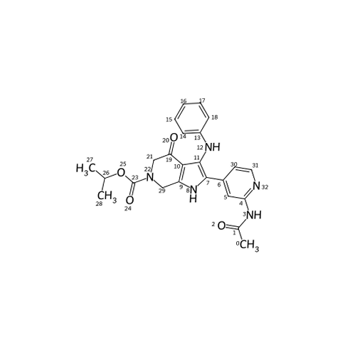 CC(=O)Nc1cc(-c2[nH]c3c(c2Nc2ccccc2)C(=O)CN(C(=O)OC(C)C)C3)ccn1